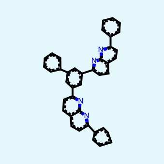 c1ccc(-c2cc(-c3ccc4ccc(-c5ccccc5)nc4n3)cc(-c3ccc4ccc(-c5ccccc5)nc4n3)c2)cc1